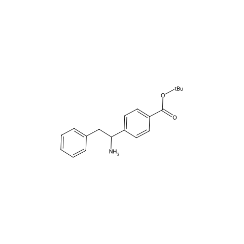 CC(C)(C)OC(=O)c1ccc(C(N)Cc2ccccc2)cc1